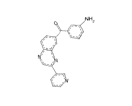 Nc1cccc(C(=O)c2ccc3ncc(-c4cccnc4)nc3c2)c1